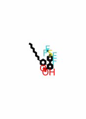 CCCCCCCCC[C@H]1CC[C@H](c2c(C(=O)O)cccc2-c2ccc(SC(F)F)c(F)c2F)CC1